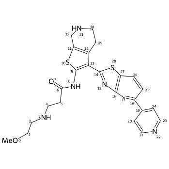 COCCNCCC(=O)Nc1sc2c(c1-c1nc3cc(-c4ccncc4)ccc3s1)CCNC2